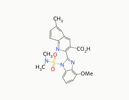 COc1cccc2c1nc(-c1nc3ccc(C)cc3cc1C(=O)O)n2S(=O)(=O)N(C)C